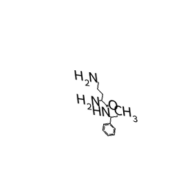 CCC(NC(=O)C(N)CCCN)c1ccccc1